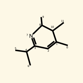 CC1=CC(C(C)C)=NC(C)C1C